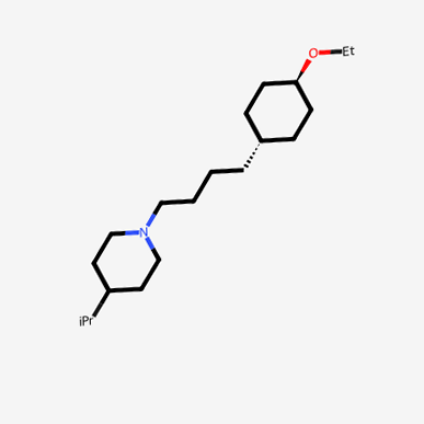 CCO[C@H]1CC[C@H](CCCCN2CCC(C(C)C)CC2)CC1